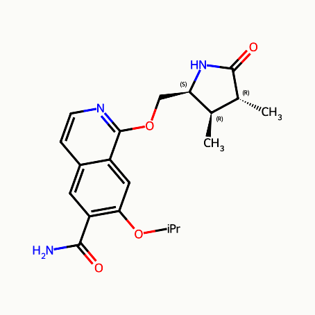 CC(C)Oc1cc2c(OC[C@H]3NC(=O)[C@H](C)[C@H]3C)nccc2cc1C(N)=O